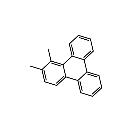 Cc1ccc2c3ccccc3c3ccccc3c2c1C